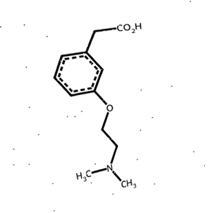 CN(C)CCOc1cccc(CC(=O)O)c1